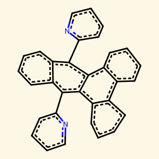 c1ccc(-c2c3ccccc3c(-c3ccccn3)c3c4ccccc4c4ccccc4c23)nc1